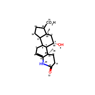 C[C@]12C[C@H](O)C3C(CC=C4NC(=O)CC[C@@]43C)C1CCC2C(=O)O